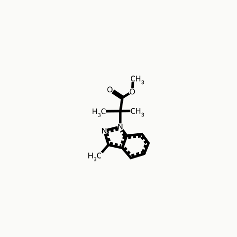 COC(=O)C(C)(C)n1nc(C)c2ccccc21